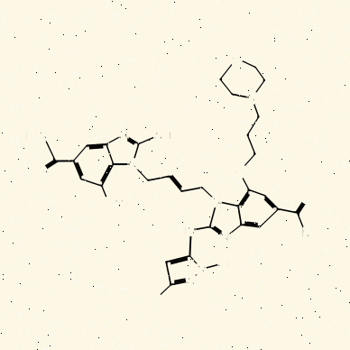 CCn1nc(C)cc1Nc1nc2cc(C(N)=O)cc(OCCCN3CCOCC3)c2n1C/C=C/Cn1c(N)nc2cc(C(N)=O)cc(OC)c21